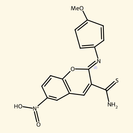 COc1ccc(/N=c2\oc3ccc([N+](=O)O)cc3cc2C(N)=S)cc1